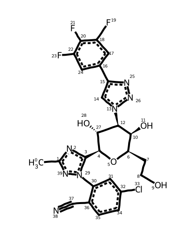 Cc1nc([C@@H]2O[C@H](CCO)[C@H](O)[C@H](n3cc(-c4cc(F)c(F)c(F)c4)nn3)[C@H]2O)n(-c2cc(Cl)ccc2C#N)n1